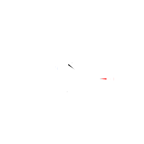 O[C@@H]1C[C@H](c2cc3ccccc3[nH]2)c2ccccc21